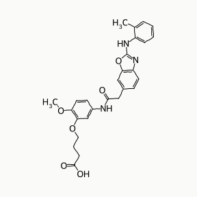 COc1ccc(NC(=O)Cc2ccc3nc(Nc4ccccc4C)oc3c2)cc1OCCCC(=O)O